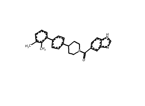 Cc1cccc(-c2ccc(C3CCN(C(=O)c4ccc5[nH]cnc5c4)CC3)cc2)c1C